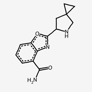 NC(=O)c1cccc2oc(C3CC4(CC4)CN3)nc12